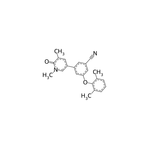 Cc1cccc(C)c1Oc1cc(C#N)cc(-c2cc(C)c(=O)n(C)c2)c1